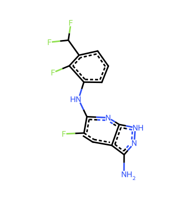 Nc1n[nH]c2nc(Nc3cccc(C(F)F)c3F)c(F)cc12